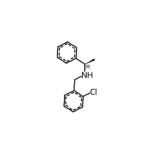 C[C@@H](NCc1ccccc1Cl)c1ccccc1